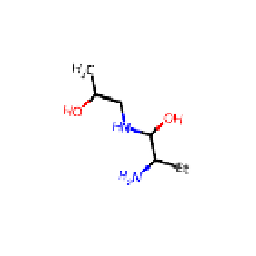 CCC(N)C(O)NCC(C)O